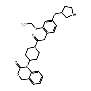 O=C(Cc1ccc(OC2CCNC2)cc1OCC(F)(F)F)N1CCC(N2C(=O)OCc3ccccc32)CC1